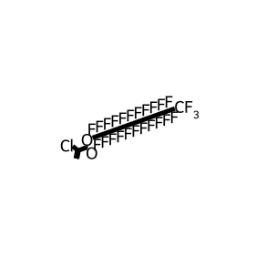 C=C(Cl)C(=O)OC(F)(F)C(F)(F)C(F)(F)C(F)(F)C(F)(F)C(F)(F)C(F)(F)C(F)(F)C(F)(F)C(F)(F)C(F)(F)C(F)(F)F